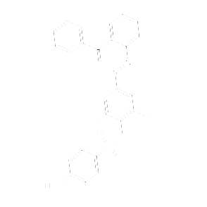 Cc1ccc(S(=O)(=O)Oc2c(C)cc(/N=N/c3ccccc3C(=O)c3ccccc3)cc2C)cc1